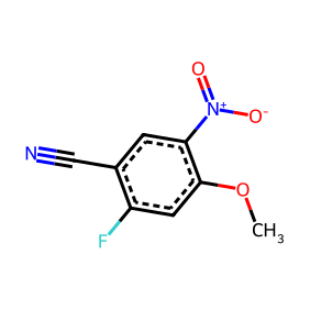 COc1cc(F)c(C#N)cc1[N+](=O)[O-]